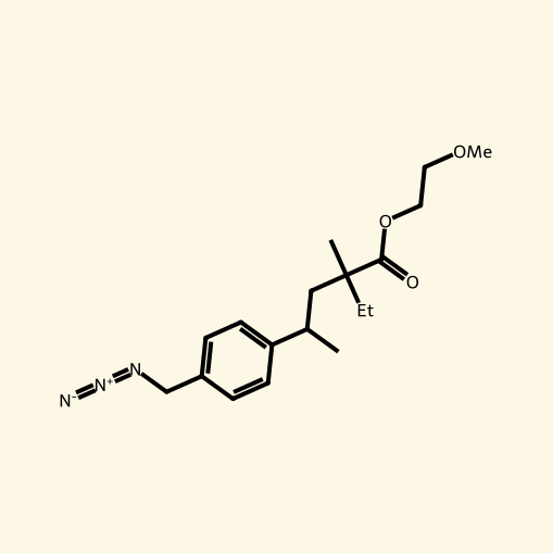 CCC(C)(CC(C)c1ccc(CN=[N+]=[N-])cc1)C(=O)OCCOC